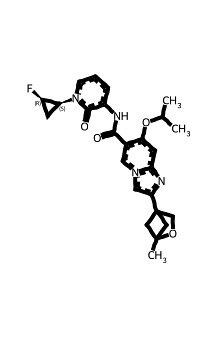 CC(C)Oc1cc2nc(C34COC(C)(C3)C4)cn2cc1C(=O)Nc1cccn([C@H]2C[C@H]2F)c1=O